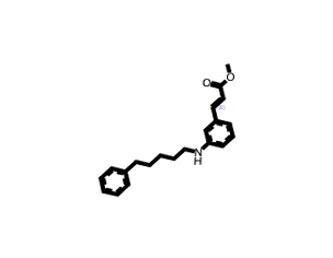 COC(=O)/C=C/c1cccc(NCCCCCc2ccccc2)c1